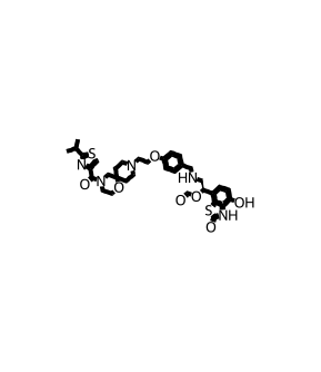 CC(C)c1nc(C(=O)N2CCOC3(CCN(CCOc4ccc(CNC[C@H](OC=O)c5ccc(O)c6[nH]c(=O)sc56)cc4)CC3)C2)cs1